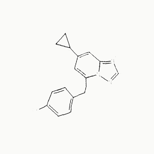 FC(F)(F)c1ccc(Cc2cc(C3CC3)cc3ncnn23)cc1